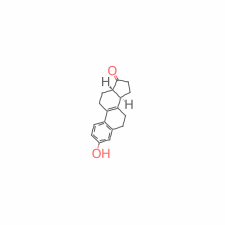 O=C1CC[C@H]2C3=C(CC[C@H]12)c1ccc(O)cc1CC3